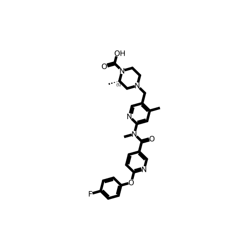 Cc1cc(N(C)C(=O)c2ccc(Oc3ccc(F)cc3)nc2)ncc1CN1CCN(C(=O)O)[C@@H](C)C1